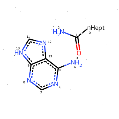 CCCCCCCC(N)=O.Nc1ncnc2[nH]cnc12